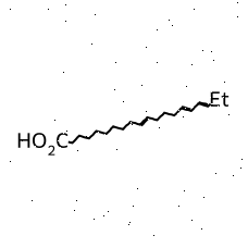 CCC=CC=CCCCC=CCCCCCCCCC(=O)O